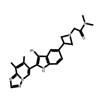 Cc1c(-c2[nH]c3ccc(C4CN(CC(=O)N(C)C)C4)cc3c2C(C)C)cn2ncnc2c1C